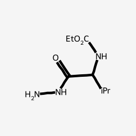 CCOC(=O)NC(C(=O)NN)C(C)C